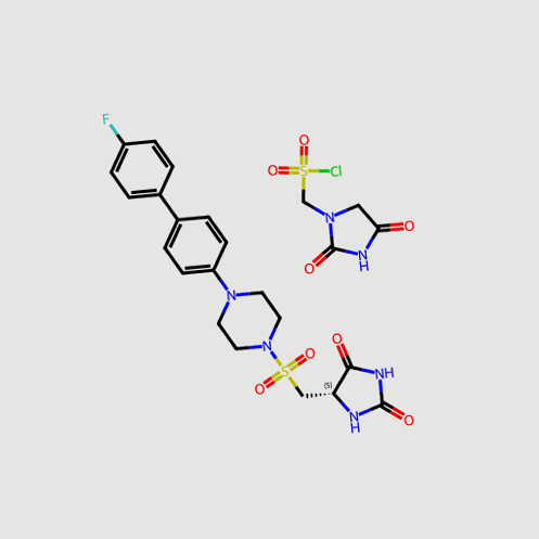 O=C1CN(CS(=O)(=O)Cl)C(=O)N1.O=C1NC(=O)[C@@H](CS(=O)(=O)N2CCN(c3ccc(-c4ccc(F)cc4)cc3)CC2)N1